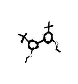 CCOc1cc(-c2[c]c(C(C)(C)C)cc(OCC)c2)[c]c(C(C)(C)C)c1